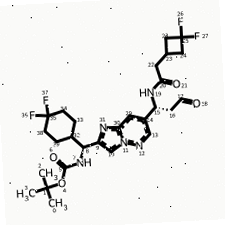 CC(C)(C)OC(=O)N[C@H](c1cn2ncc([C@@H](CC=O)NC(=O)CC3CC(F)(F)C3)cc2n1)C1CCC(F)(F)CC1